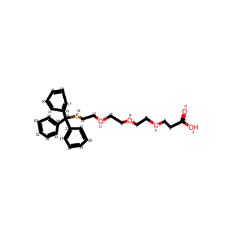 O=C(O)CCOCCOCCOCCSC(c1ccccc1)(c1ccccc1)c1ccccc1